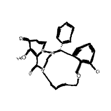 O=C1c2c(O)c(=O)ccn2N2CN1C/C=C/COc1c(Cl)cccc1[C@H]2c1ccccc1